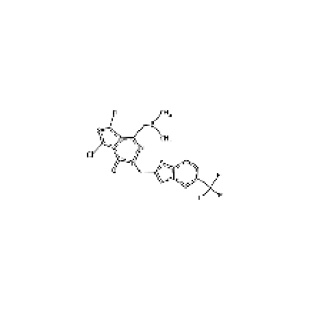 CB(C)Cc1nn(Cc2cc3cc(C(F)(F)F)ccc3s2)c(=O)c2c(Cl)sc(Cl)c12